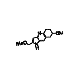 COCc1cc2nc3c(cc2[nH]1)CC(C(C)(C)C)CC3